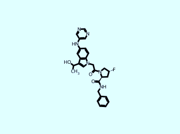 CC(O)c1cn(CC(=O)N2C[C@H](F)C[C@H]2C(=O)NCc2ccccc2)c2ccc(Nc3cncnc3)cc12